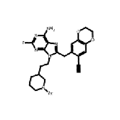 C#Cc1cc2c(cc1Cc1nc3c(N)nc(F)nc3n1CCC1CCCN(C(C)=O)C1)OCCO2